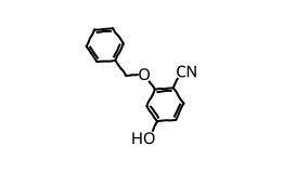 N#Cc1ccc(O)cc1OCc1ccccc1